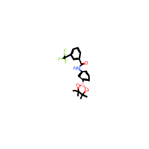 CC1(C)OB(c2cccc(NC(=O)c3cccc(C(F)(F)F)c3)c2)OC1(C)C